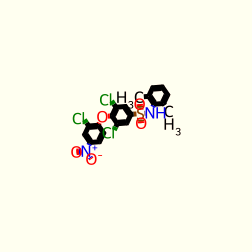 Cc1cccc(C)c1NS(=O)(=O)c1cc(Cl)c(Oc2ccc([N+](=O)[O-])cc2Cl)c(Cl)c1